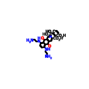 NCCNc1ccc(NCCN)c2c1C(=O)c1ccncc1C2=O.O=C(O)/C=C\C(=O)O.O=C(O)/C=C\C(=O)O